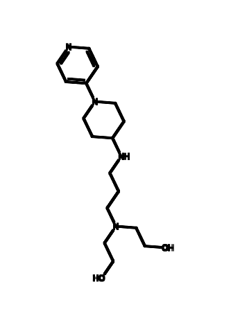 OCCN(CCO)CCCNC1CCN(c2ccncc2)CC1